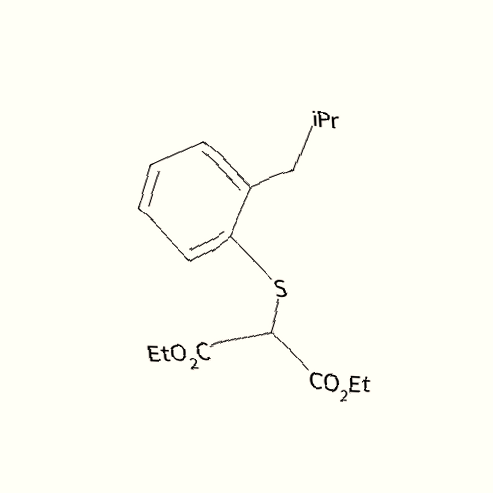 CCOC(=O)C(Sc1ccccc1CC(C)C)C(=O)OCC